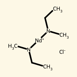 CC[N](C)[Nd+][N](C)CC.[Cl-]